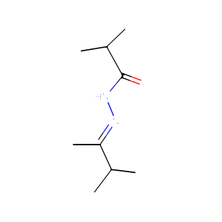 C/C(=N\NC(=O)C(C)C)C(C)C